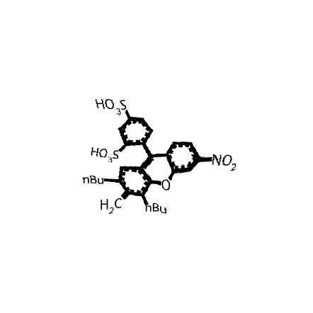 C=c1c(CCCC)cc2c(c1CCCC)Oc1cc([N+](=O)[O-])ccc1C=2c1ccc(S(=O)(=O)O)cc1S(=O)(=O)O